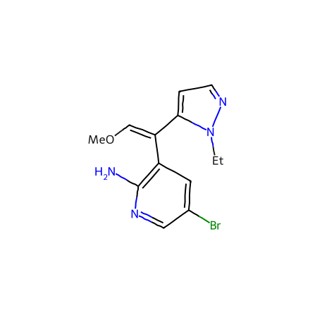 CCn1nccc1/C(=C/OC)c1cc(Br)cnc1N